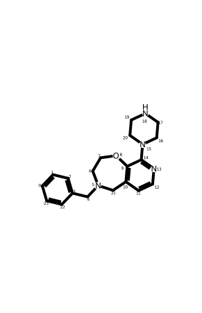 c1ccc(CN2CCOc3c(ccnc3N3CCNCC3)C2)cc1